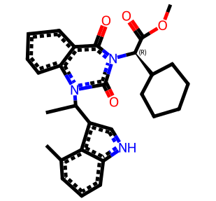 COC(=O)[C@@H](C1CCCCC1)n1c(=O)c2ccccc2n(C(C)c2c[nH]c3cccc(C)c23)c1=O